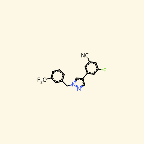 N#Cc1cc(F)cc(-c2cnn(Cc3cccc(C(F)(F)F)c3)c2)c1